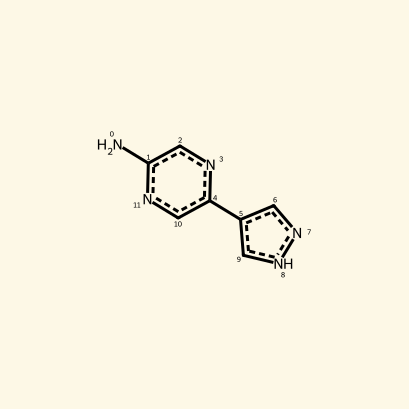 Nc1cnc(-c2cn[nH]c2)cn1